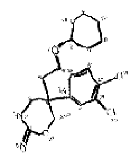 O=C1NCC(CCOC2CCCCO2)(c2ccc(Cl)c(Cl)c2)CO1